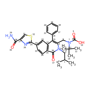 CC(C)Cn1c(CN(C(=O)O)C(C)(C)C)c(-c2ccccc2)c2cc(-c3nc(C(N)=O)cs3)ccc2c1=O